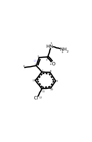 C/C(=C/C(=O)NN)c1cccc(Cl)c1